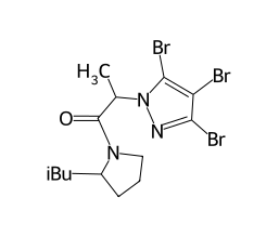 CCC(C)C1CCCN1C(=O)C(C)n1nc(Br)c(Br)c1Br